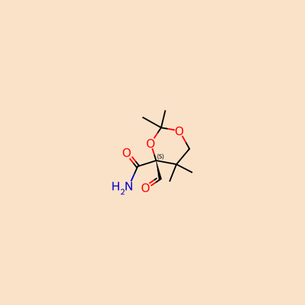 CC1(C)OCC(C)(C)[C@](C=O)(C(N)=O)O1